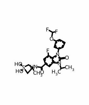 CC(C)n1c(=O)n(-c2cccc(OC(F)F)c2)c2c(F)cc(C(=O)NC3(C)CS(O)(O)C3)cc21